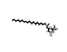 CCCCCCCCCCCCCCCCCCN(C)CC(CO)OC(=O)N(C)C